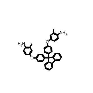 Cc1cc(Oc2ccc(C3(c4ccc(Oc5ccc(N)c(C)c5)cc4)c4ccccc4-c4ccccc43)cc2)ccc1N